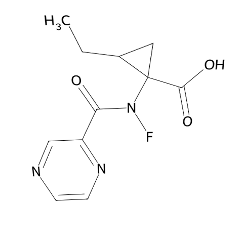 CCC1CC1(C(=O)O)N(F)C(=O)c1cnccn1